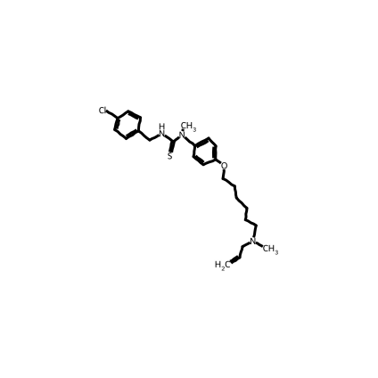 C=CCN(C)CCCCCCOc1ccc(N(C)C(=S)NCc2ccc(Cl)cc2)cc1